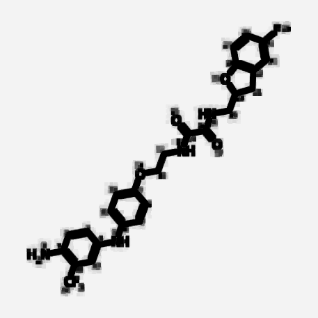 Nc1ccc(Nc2ccc(OCCNC(=O)C(=O)NCC3Cc4cc(F)ccc4O3)cc2)cc1C(F)(F)F